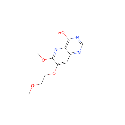 COCCOc1cc2ncnc(O)c2nc1OC